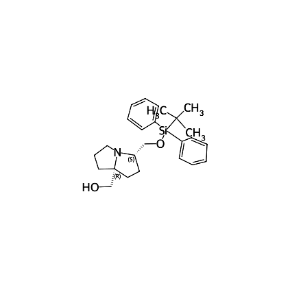 CC(C)(C)[Si](OC[C@@H]1CC[C@@]2(CO)CCCN12)(c1ccccc1)c1ccccc1